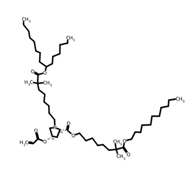 C=CC(=O)O[C@H]1C[C@@H](C(=O)OCCCCCCC(C)(C)C(=O)OCCCCCCCCCCC)N(CCCCCCC(C)(C)C(=O)OC(CCCCCC)CCCCCCCC)C1